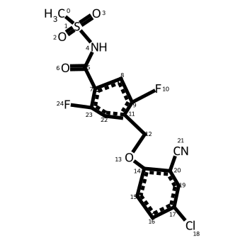 CS(=O)(=O)NC(=O)c1cc(F)c(COc2ccc(Cl)cc2C#N)cc1F